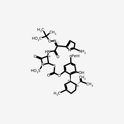 C=C(C)[C@@H]1CCC(C)=C[C@H]1c1c(O)cc(CCCCC)cc1OC(=O)SC1[C@H](NC(=O)/C(=N\OC(C)(C)C(=O)O)C2=CCC(N)=N2)C(=O)N1S(=O)(=O)O